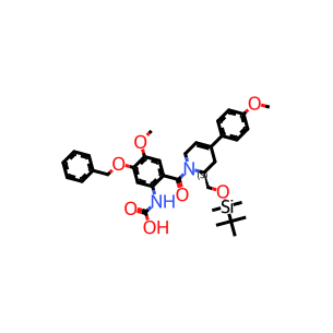 COc1ccc(C2=CCN(C(=O)c3cc(OC)c(OCc4ccccc4)cc3NC(=O)O)[C@H](CO[Si](C)(C)C(C)(C)C)C2)cc1